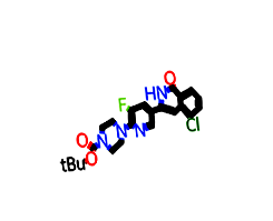 CC(C)(C)OC(=O)N1CCN(c2ncc(-c3cc4c(Cl)cccc4c(=O)[nH]3)cc2F)CC1